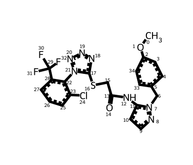 COc1ccc(Cn2nccc2NC(=O)CSc2nnnn2-c2c(Cl)cccc2C(F)(F)F)cc1